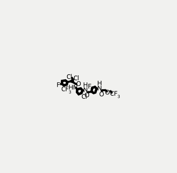 O=C(COCC(F)(F)F)Nc1ccc(C(=O)Nc2cc(NC(=O)C3C(c4ccc(F)c(C(F)(F)F)c4)C3(Cl)Cl)ccc2Cl)c(F)c1